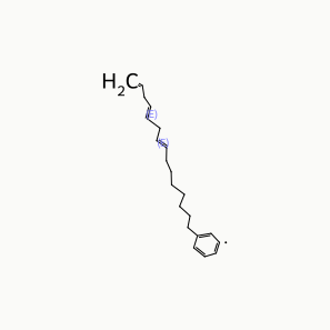 C=CC/C=C/C/C=C/CCCCCCCc1c[c]ccc1